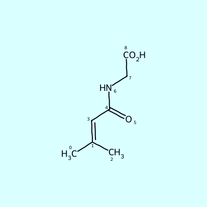 CC(C)=CC(=O)NCC(=O)O